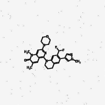 Cc1cc2c(N3CCCc4cc(-c5cnn(C)c5)c(C(F)F)cc43)nc(N3CCOCC3)cc2n(C)c1=O